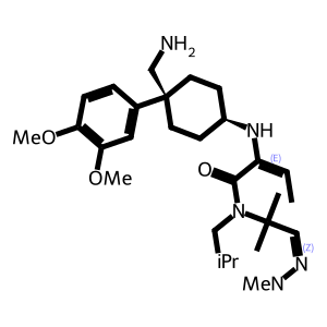 C/C=C(/N[C@H]1CC[C@](CN)(c2ccc(OC)c(OC)c2)CC1)C(=O)N(CC(C)C)C(C)(C)/C=N\NC